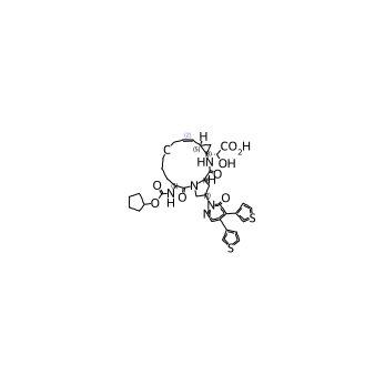 O=C(N[C@H]1CCCCC/C=C\[C@@H]2C[C@@]2(C(O)C(=O)O)NC(=O)[C@@H]2C[C@@H](n3ncc(-c4ccsc4)c(-c4ccsc4)c3=O)CN2C1=O)OC1CCCC1